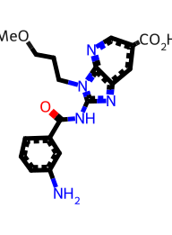 COCCCn1c(NC(=O)c2cccc(N)c2)nc2cc(C(=O)O)cnc21